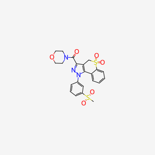 CS(=O)(=O)c1cccc(-n2nc(C(=O)N3CCOCC3)c3c2-c2ccccc2S(=O)(=O)C3)c1